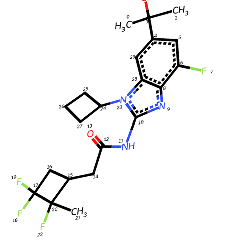 CC(C)(O)c1cc(F)c2nc(NC(=O)CC3CC(F)(F)C3(C)F)n(C3CCC3)c2c1